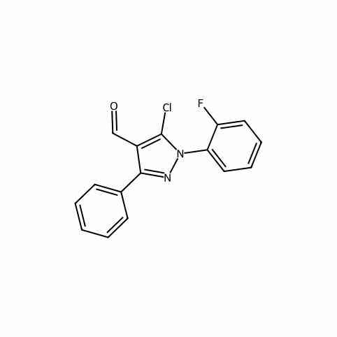 O=Cc1c(-c2ccccc2)nn(-c2ccccc2F)c1Cl